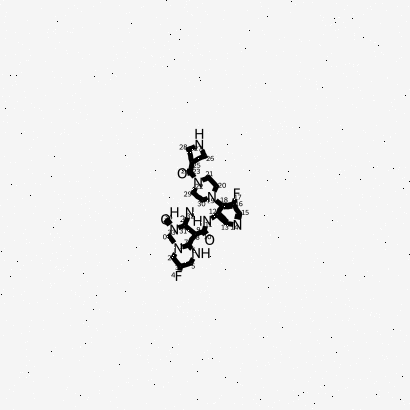 CN1CC(F)CNC1C(C(=O)Nc1cncc(F)c1N1CCN(C(=O)C2CNC2)CC1)C(N)N=O